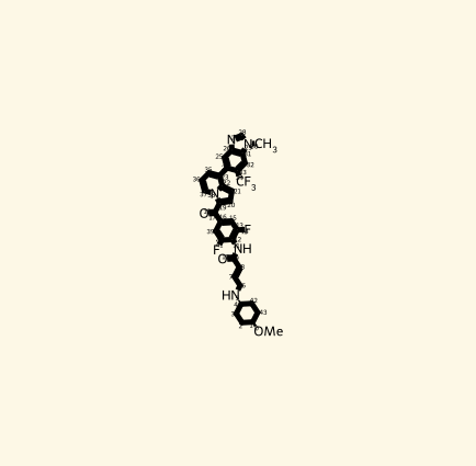 CO[C@H]1CC[C@H](NC/C=C/C(=O)Nc2c(F)cc(C(=O)c3ccc4c(-c5cc6ncn(C)c6cc5C(F)(F)F)cccn34)cc2F)CC1